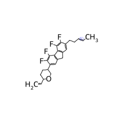 C=CC1CCC(c2cc3c(c(F)c2F)-c2c(cc(CC/C=C/C)c(F)c2F)C3)CO1